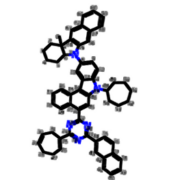 CC12CCCCC1N(c1ccc3c(c1)c1c4ccccc4c(-c4nc(C5=CCCC=CC5)nc(-c5ccc6ccccc6c5)n4)cc1n3C1CCCCCC1)c1cc3c#cccc3cc12